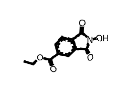 CCOC(=O)c1ccc2c(c1)C(=O)N(O)C2=O